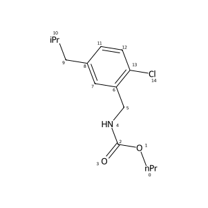 CCCOC(=O)NCc1cc(CC(C)C)ccc1Cl